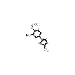 CCCCCCCCOc1ccc(-n2ccc(C(F)(F)F)n2)cc1C#N